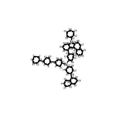 c1ccc(-c2ccc(-c3ccc(N(c4ccc(-c5cccc6ccccc56)cc4)c4cccc(-c5cccc6c5c5c7ccccc7ccc5n6-c5ccccc5)c4)cc3)cc2)cc1